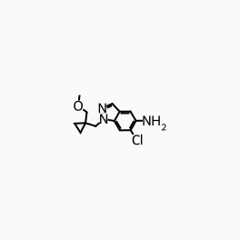 COCC1(Cn2ncc3cc(N)c(Cl)cc32)CC1